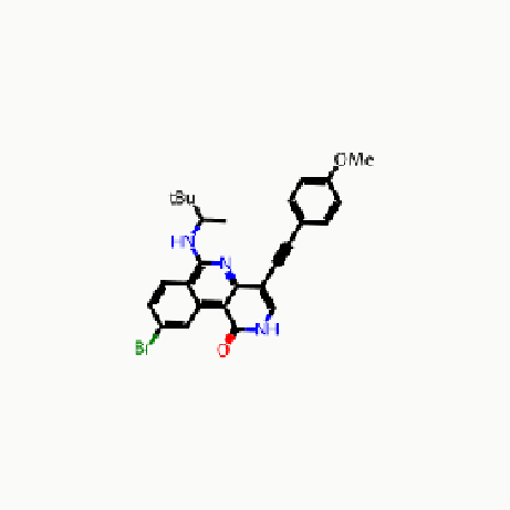 COc1ccc(C#Cc2c[nH]c(=O)c3c2nc(NC(C)C(C)(C)C)c2ccc(Br)cc23)cc1